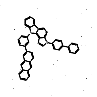 c1ccc(-c2ccc(-n3ccc4c3ccc3c5ccccc5n(-c5cccc(-c6ccc7cc8ccccc8cc7c6)c5)c34)cc2)cc1